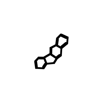 c1ccc2c(c1)Cc1cc3ccccc3cc1-2